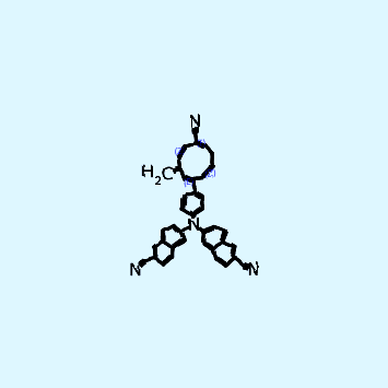 C=C1/C=C\C(C#N)=C/C/C=C\C(c2ccc(N(c3ccc4cc(C#N)ccc4c3)c3ccc4cc(C#N)ccc4c3)cc2)=C/1